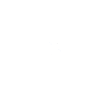 O=C(c1ccccc1)c1cn(-c2cccc(Br)c2)cn1